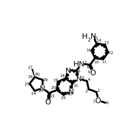 COCCCn1c(NC(=O)c2cccc(N)c2)nc2cc(C(=O)N3CC[C@@H](C)C3)cnc21